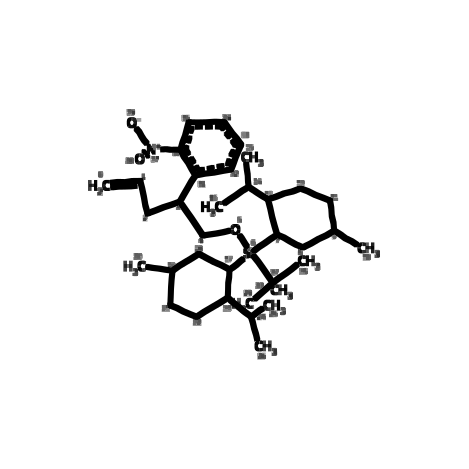 C=CCC(CO[Si](C1CC(C)CCC1C(C)C)(C1CC(C)CCC1C(C)C)C(C)(C)C)c1ccccc1[N+](=O)[O-]